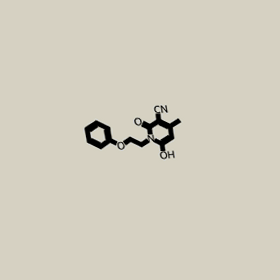 Cc1cc(O)n(CCOc2ccccc2)c(=O)c1C#N